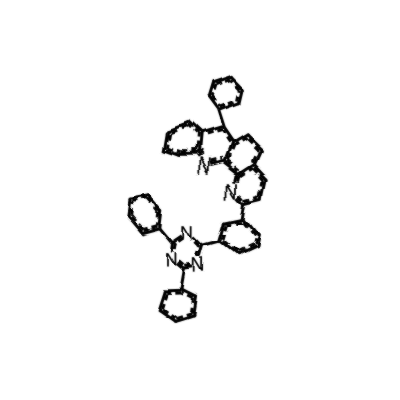 c1ccc(-c2nc(-c3ccccc3)nc(-c3cccc(-c4ccc5ccc6c(-c7ccccc7)c7ccccc7nc6c5n4)c3)n2)cc1